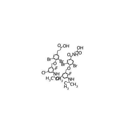 CC(C)Nc1cc(Cl)cc(COc2c(Br)cc(C(=O)NCC(=O)O)cc2Br)c1F.CC(C)Nc1cc(Cl)cc(COc2c(Br)cc(CCC(=O)O)cc2Br)c1F